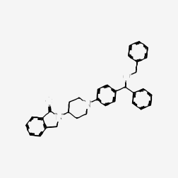 O=C1c2ccccc2CN1C1CCN(c2ccc(C(OCc3ccccc3)c3ccccc3)cc2)CC1